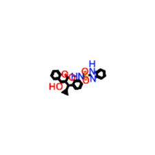 O=c1oc2ccccc2c(O)c1C(c1cccc(NS(=O)(=O)c2nc3ccccc3[nH]2)c1)C1CC1